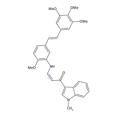 COc1ccc(C=Cc2cc(OC)c(OC)c(OC)c2)cc1N/C=C\C(=O)c1cn(C)c2ccccc12